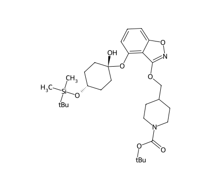 CC(C)(C)OC(=O)N1CCC(COc2noc3cccc(O[C@]4(O)CC[C@H](O[Si](C)(C)C(C)(C)C)CC4)c23)CC1